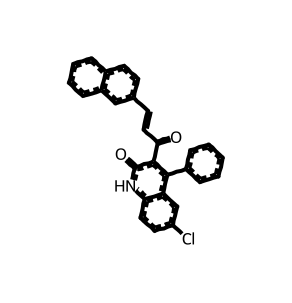 O=C(C=Cc1ccc2ccccc2c1)c1c(-c2ccccc2)c2cc(Cl)ccc2[nH]c1=O